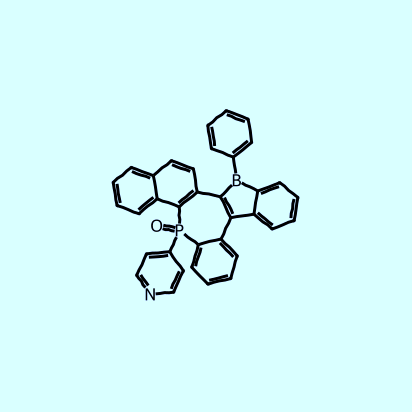 O=P1(c2ccncc2)c2ccccc2C2=C(B(c3ccccc3)c3ccccc32)c2ccc3ccccc3c21